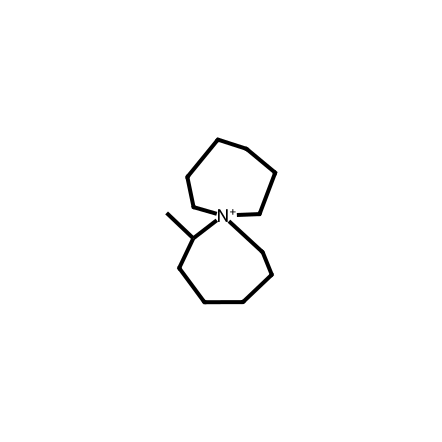 CC1CCCCC[N+]12CCCCCC2